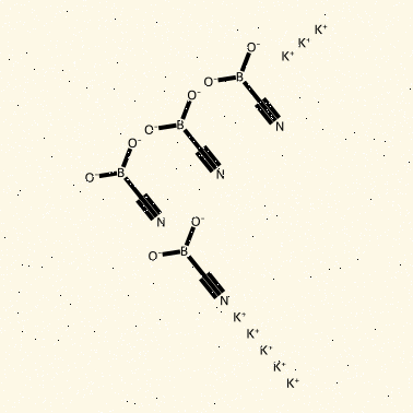 N#CB([O-])[O-].N#CB([O-])[O-].N#CB([O-])[O-].N#CB([O-])[O-].[K+].[K+].[K+].[K+].[K+].[K+].[K+].[K+]